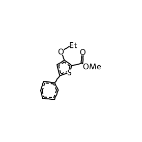 CCOc1cc(-c2ccccc2)sc1C(=O)OC